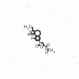 CCc1n[nH]c2c1CCCc1cc(N3C[C@H](C(=O)NC)OC3=O)cc(F)c1-2